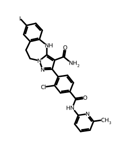 Cc1cccc(NC(=O)c2ccc(-c3nn4c(c3C(N)=O)Nc3ccc(I)cc3CC4)c(Cl)c2)n1